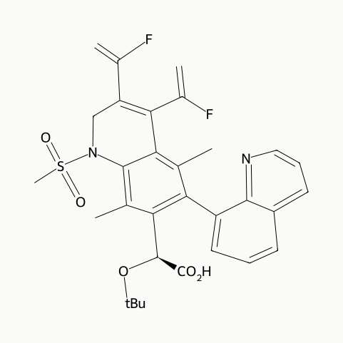 C=C(F)C1=C(C(=C)F)c2c(C)c(-c3cccc4cccnc34)c([C@H](OC(C)(C)C)C(=O)O)c(C)c2N(S(C)(=O)=O)C1